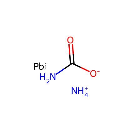 NC(=O)[O-].[NH4+].[Pb]